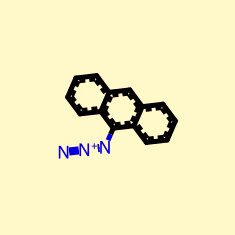 [N-]=[N+]=Nc1c2ccccc2cc2ccccc12